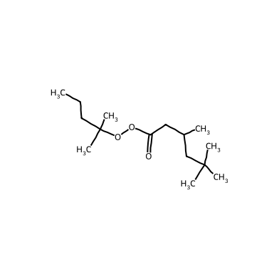 CCCC(C)(C)OOC(=O)CC(C)CC(C)(C)C